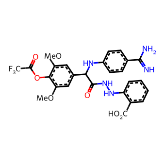 COc1cc(C(Nc2ccc(C(=N)N)cc2)C(=O)NNc2ccccc2C(=O)O)cc(OC)c1OC(=O)C(F)(F)F